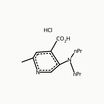 CCCN(CCC)c1cnc(C)cc1C(=O)O.Cl